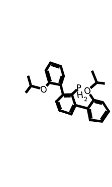 CC(C)Oc1ccccc1-c1cccc(-c2ccccc2OC(C)C)c1P